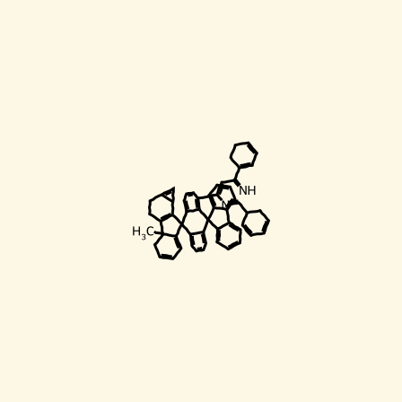 CC12CC=CC=C1C1(C3=C2CCC2=CC23)c2ccccc2C2(c3ccccc3-c3ccccc32)c2c(C(=C/C(=N)C3=CC=CCC3)/N=C/C3C=CC=CC3)cccc21